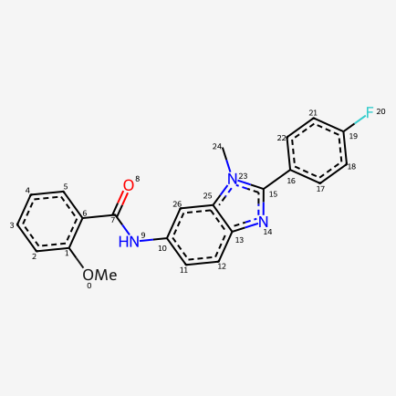 COc1ccccc1C(=O)Nc1ccc2nc(-c3ccc(F)cc3)n(C)c2c1